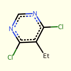 [CH2]Cc1c(Cl)ncnc1Cl